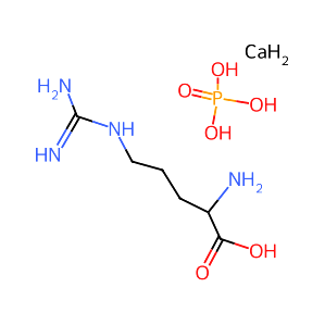 N=C(N)NCCCC(N)C(=O)O.O=P(O)(O)O.[CaH2]